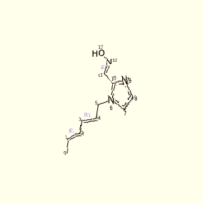 C/C=C/C=C/Cn1ccnc1/C=N/O